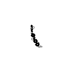 C=CC(=O)OCCCOc1ccc(OC(=O)C2CCC(C3CCC(CCC)CC3)CC2)cc1